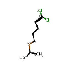 CC(C)SCCCC=C(Cl)Cl